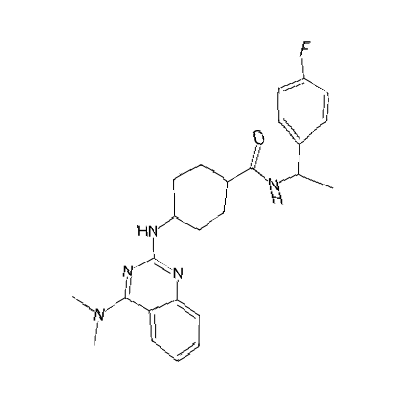 CC(NC(=O)C1CCC(Nc2nc(N(C)C)c3ccccc3n2)CC1)c1ccc(F)cc1